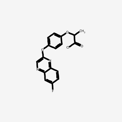 CC(Oc1ccc(Oc2cnc3cc(F)ccc3n2)cc1)C(=O)Cl